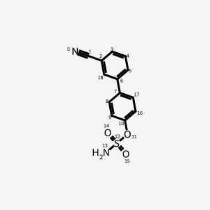 N#Cc1cccc(-c2ccc(OS(N)(=O)=O)cc2)c1